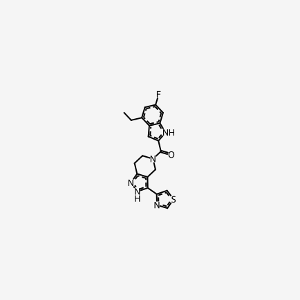 CCc1cc(F)cc2[nH]c(C(=O)N3CCc4n[nH]c(-c5cscn5)c4C3)cc12